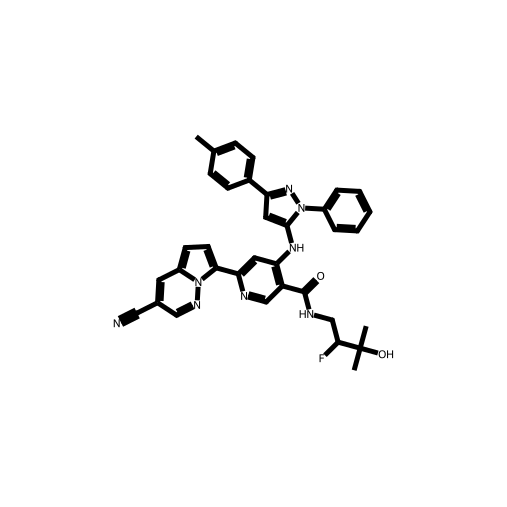 Cc1ccc(-c2cc(Nc3cc(-c4ccc5cc(C#N)cnn45)ncc3C(=O)NCC(F)C(C)(C)O)n(-c3ccccc3)n2)cc1